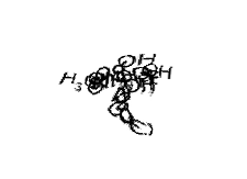 CS(=O)(=O)NC(=O)Nc1ccc(O)cc1OC[C@@H](O)CN1CCC2(CC1)Cc1cc(Cl)ccc1O2.O=C(O)C(F)(F)F